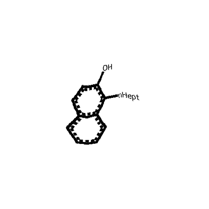 CCCCCCCc1c(O)ccc2ccccc12